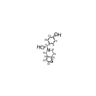 Cl.Oc1ccc(CN2CCc3sccc3C2)cc1